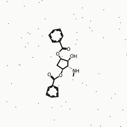 CN[C@H]1[C@H](O)[C@H](OC(=O)c2ccccc2)C[C@@H]1OC(=O)c1ccccc1